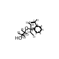 C=C(C)c1ccccc1C(CC)(CC)OC(C)(C)C(C)(C)O